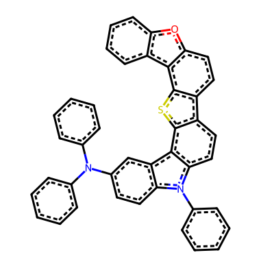 c1ccc(N(c2ccccc2)c2ccc3c(c2)c2c4sc5c(ccc6oc7ccccc7c65)c4ccc2n3-c2ccccc2)cc1